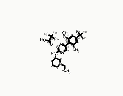 CCN1CCC[C@@H](Nc2ncc(-c3c(C)cc(C(F)(F)F)cc3OC)nn2)C1.O=C(O)C(F)(F)F